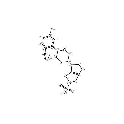 CC(C)S(=O)(=O)N1CC2=C(C1)N([C@H]1CO[C@H](c3cc(F)ccc3F)[C@@H](N)C1)CC2